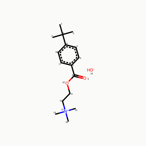 CC(C)(C)c1ccc(C(=O)OCC[N+](C)(C)C)cc1.[OH-]